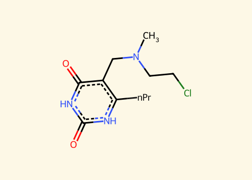 CCCc1[nH]c(=O)[nH]c(=O)c1CN(C)CCCl